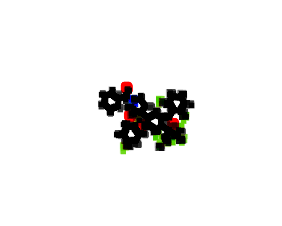 O=C(c1ccccc1)N1CCC(c2ccc(C(OCc3c(F)cccc3F)(C(F)(F)F)C(F)(F)F)cc2)(S(=O)(=O)c2ccc(F)cc2)C1